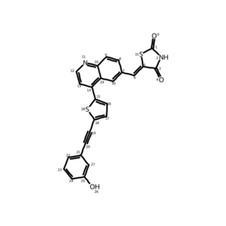 O=C1NC(=O)/C(=C/c2ccc3nccc(-c4ccc(C#Cc5cccc(O)c5)s4)c3c2)S1